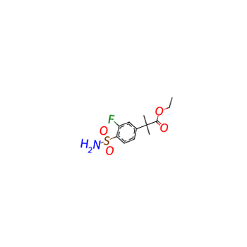 CCOC(=O)C(C)(C)c1ccc(S(N)(=O)=O)c(F)c1